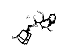 CCN1C2CC3CC1CC(CNC(=O)c1c(O)c4ccccc4n(C(C)C)c1=O)(C3)C2.Cl